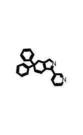 C1=CC(c2ccccc2)(c2ccccc2)CC2=C1C(c1cccnc1)=NC2